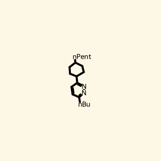 CCCCCC1CCC(c2ccc(CCCC)nn2)CC1